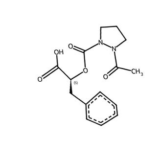 CC(=O)N1CCCN1C(=O)O[C@@H](Cc1ccccc1)C(=O)O